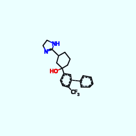 OC1(c2ccc(C(F)(F)F)c(-c3ccccc3)c2)CCCC(C2=NCCN2)C1